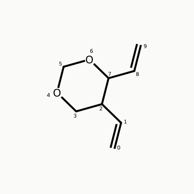 C=CC1COCOC1C=C